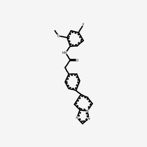 COc1cc(F)ccc1NC(=O)Cc1ccc(-c2ccn3ncnc3c2)cc1